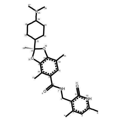 Cc1cc(C)c(CNC(=O)c2cc(C)c3c(c2C)O[C@@](C)(C2CCC(N(C)C)CC2)O3)c(=O)[nH]1